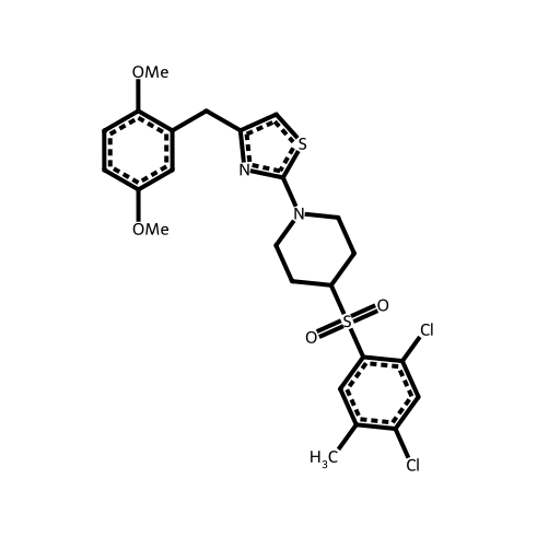 COc1ccc(OC)c(Cc2csc(N3CCC(S(=O)(=O)c4cc(C)c(Cl)cc4Cl)CC3)n2)c1